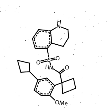 COc1ccc(C2CCC2)cc1C1(C(=O)NS(=O)(=O)c2cccc3c2CCCN3)CCC1